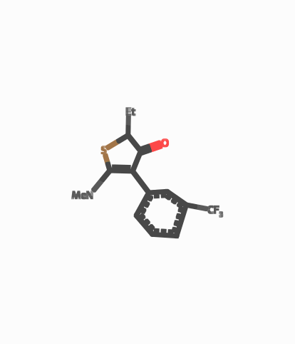 CCC1SC(NC)=C(c2cccc(C(F)(F)F)c2)C1=O